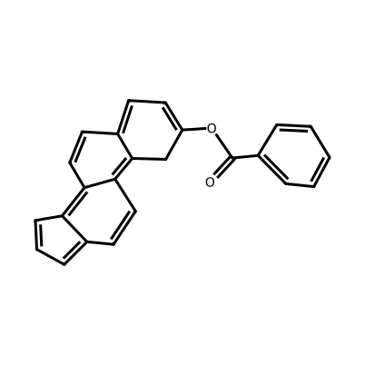 O=C(OC1=CC=c2ccc3c4c(ccc3c2C1)=CC=C4)c1ccccc1